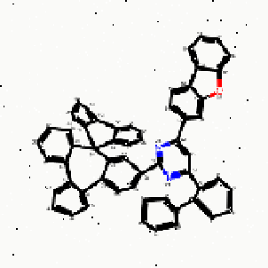 c1ccc(-c2ccccc2-c2cc(-c3ccc4c(c3)oc3ccccc34)nc(-c3ccc4c(c3)C3(c5ccccc5-c5ccccc5-4)c4ccccc4-c4ccccc43)n2)cc1